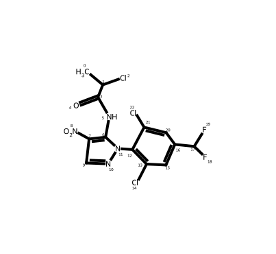 CC(Cl)C(=O)Nc1c([N+](=O)[O-])cnn1-c1c(Cl)cc(C(F)F)cc1Cl